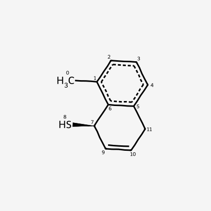 Cc1cccc2c1[C@H](S)C=CC2